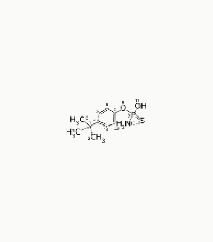 CC(C)(C)c1ccc(OP(N)(O)=S)cc1